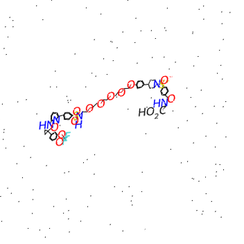 O=C(O)CNC(=O)c1ccc([S+]([O-])N2CCC(c3ccc(OCCOCCOCCOCCOCCNS(=O)(=O)c4ccc(-c5cccc(NC(=O)C6(c7ccc8c(c7)OC(F)(F)O8)CC6)n5)cc4)cc3)CC2)cc1